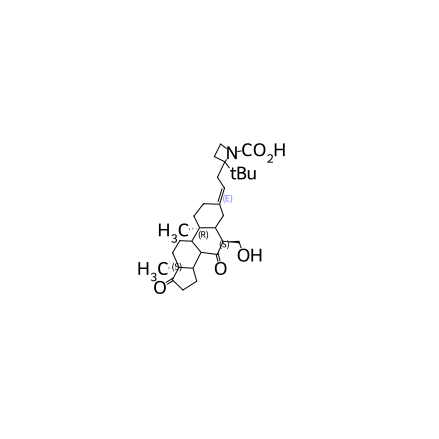 CC(C)(C)C1(C/C=C2\CC[C@]3(C)C4CC[C@]5(C)C(=O)CCC5C4C(=O)[C@H](CO)C3C2)CCN1C(=O)O